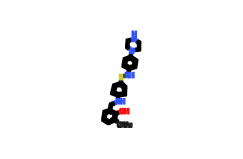 COc1cccc(CNc2ccc(SNc3ccc(N4CCNCC4)cc3)cc2)c1O